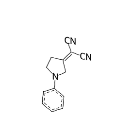 N#CC(C#N)=C1CCN(c2ccccc2)C1